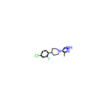 Cc1n[nH]cc1N1CCC(c2ccc(Cl)cc2F)CC1